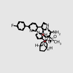 CS(=O)(=O)c1c([C@@H]2C[C@H]3CC[C@@H](C2)N3C(=O)c2ccn[nH]2)nc2c(-c3ccc(-c4ccc(F)cc4)nc3)cnn2c1N